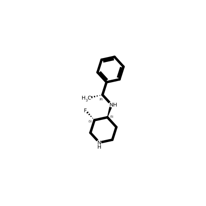 C[C@@H](N[C@H]1CCNC[C@@H]1F)c1ccccc1